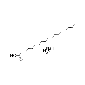 CCCCCCCCCCCCCCCCCC(=O)O.S.[NaH]